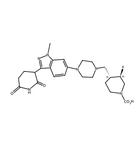 Cn1nc(C2CCC(=O)NC2=O)c2ccc(N3CCN(C[C@H]4CCN(C(=O)O)C[C@@H]4F)CC3)cc21